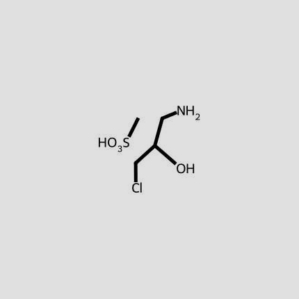 CS(=O)(=O)O.NCC(O)CCl